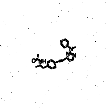 CC(=O)NC(C)Cc1ccc(C#Cc2ccnc(N(C)c3ccccc3)n2)cc1